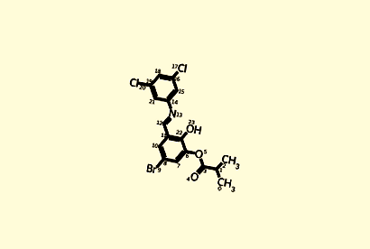 CC(C)C(=O)Oc1cc(Br)cc(C=Nc2cc(Cl)cc(Cl)c2)c1O